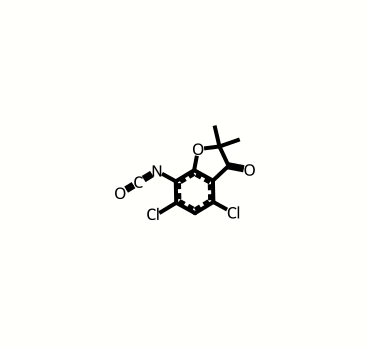 CC1(C)Oc2c(N=C=O)c(Cl)cc(Cl)c2C1=O